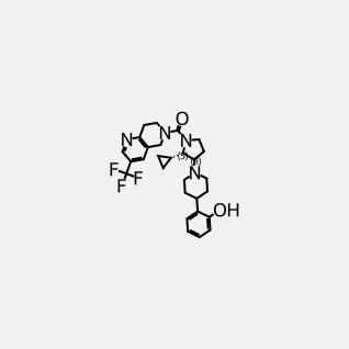 O=C(N1CCc2ncc(C(F)(F)F)cc2C1)N1CC[C@@H](N2CCC(c3ccccc3O)CC2)[C@@H]1C1CC1